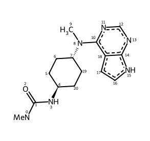 CNC(=O)N[C@H]1CC[C@H](N(C)c2ncnc3[nH]ccc23)CC1